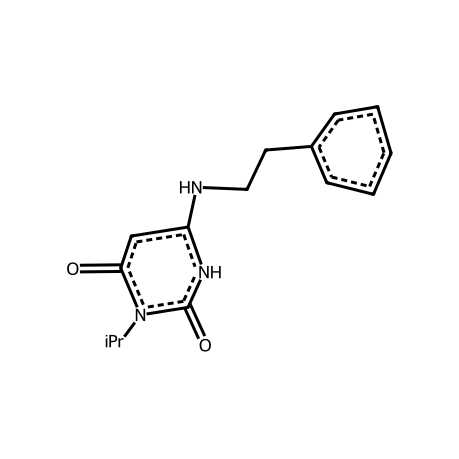 CC(C)n1c(=O)cc(NCCc2ccccc2)[nH]c1=O